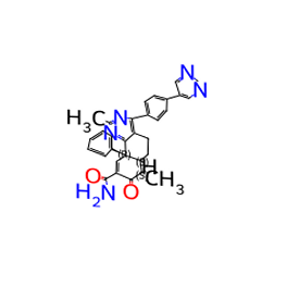 Cc1nc(-c2ccc(-c3cncnc3)cc2)c2c(n1)[C@@]1(c3ccccc3)C=C(C(N)=O)C(=O)[C@@H](C)[C@@H]1CC2